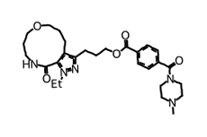 CCn1nc(CCCOC(=O)c2ccc(C(=O)N3CCN(C)CC3)cc2)c2c1C(=O)NCCCOCCC2